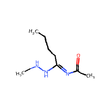 CCCC/C(=N\C(C)=O)NNC